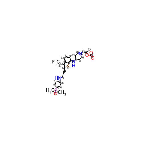 CP(C)(=O)c1ccc(NCC#Cc2sc3c(NC4CCN(CC5COC(=O)O5)CC4)cccc3c2CC(F)(F)F)cc1